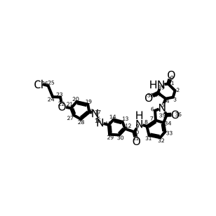 O=C1CCC(N2Cc3c(NC(=O)c4ccc(N=Nc5ccc(OCCCCl)cc5)cc4)cccc3C2=O)C(=O)N1